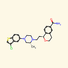 C[C@@H]1CN(c2ccc3scc(Cl)c3c2)CCN1CC[C@@H]1OCCc2cc(C(N)=O)ccc21